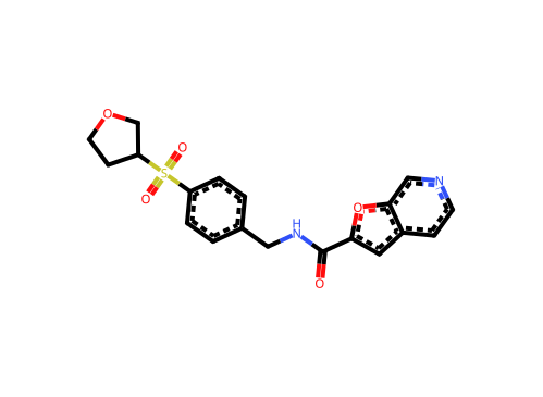 O=C(NCc1ccc(S(=O)(=O)C2CCOC2)cc1)c1cc2ccncc2o1